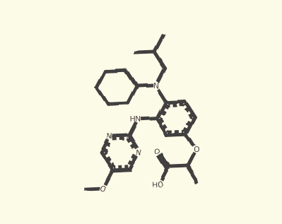 COc1cnc(Nc2cc(OC(C)C(=O)O)ccc2N(CC(C)C)C2CCCCC2)nc1